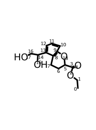 CCOC(=O)C1CCc2c(cccc2C(O)CO)O1